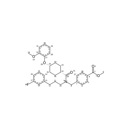 COC(=O)c1ccc(CN(CCCc2cccc(F)c2)C(=O)[C@H]2CC[C@@H](Oc3ccccc3OC)CC2)cc1